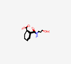 O=C(O)C1=C(C(=O)NCCCO)CCCC1